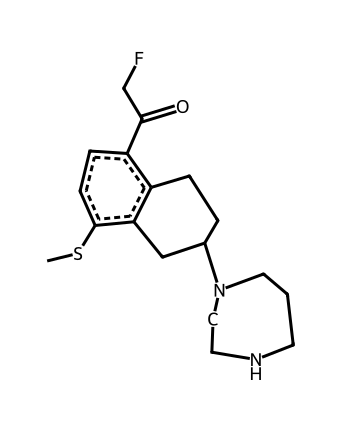 CSc1ccc(C(=O)CF)c2c1CC(N1CCCNCC1)CC2